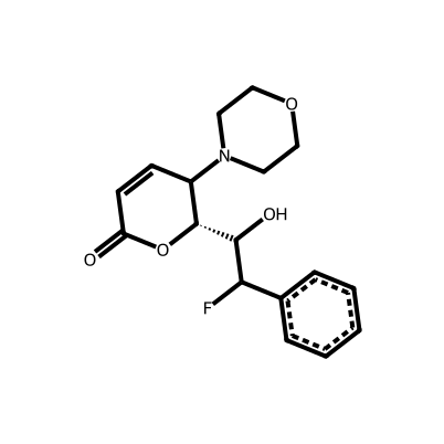 O=C1C=CC(N2CCOCC2)[C@H](C(O)C(F)c2ccccc2)O1